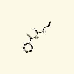 C=CCNC(=N)NC(=O)c1ccccc1